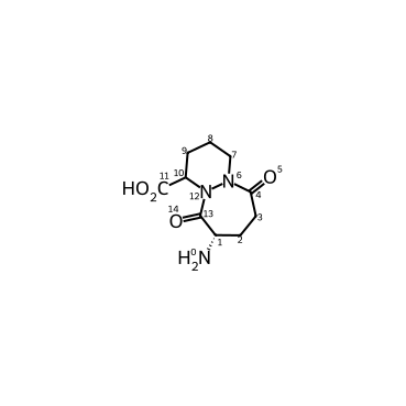 N[C@H]1CCC(=O)N2CCCC(C(=O)O)N2C1=O